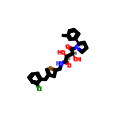 Cc1cccc([C@H]2CCCN2C(=O)[C@H](O)[C@@H](O)C(=O)NCC2CC(Cc3ccccc3Cl)=CS2)c1